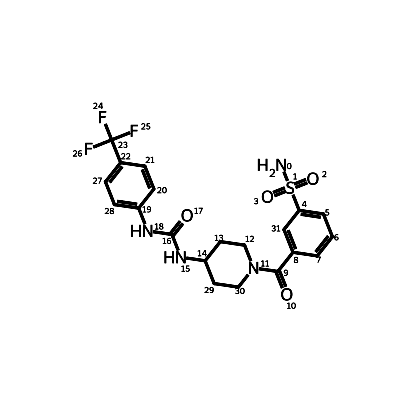 NS(=O)(=O)c1cccc(C(=O)N2CCC(NC(=O)Nc3ccc(C(F)(F)F)cc3)CC2)c1